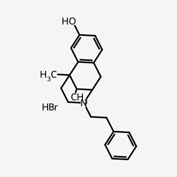 Br.CC1C2Cc3ccc(O)cc3C1(C)CCN2CCc1ccccc1